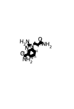 NC(=O)CCn1c(N)nc2c(C(N)=O)[c]ccc21